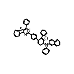 C1=C(c2ccc(-c3nc(-c4ccccc4)c4sc5ccccc5c4n3)cc2)c2c(oc3ccccc23)C(N(c2ccccc2)c2ccc3ccccc3c2)C1